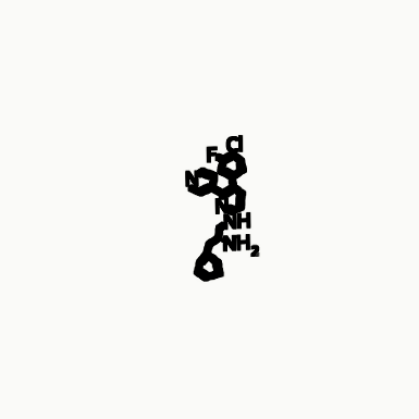 N[C@@H](CNc1ccc(-c2ccc(Cl)c(F)c2)c(-c2ccncc2)n1)Cc1ccccc1